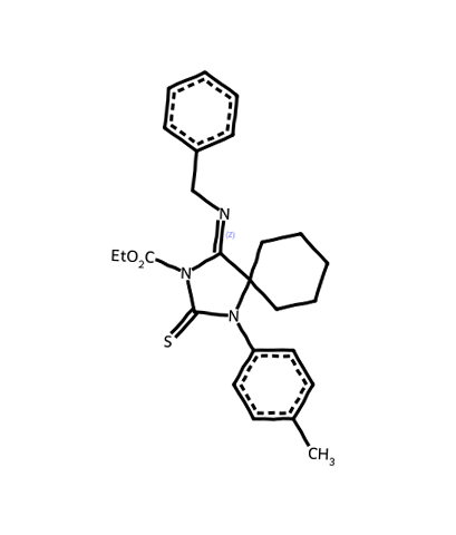 CCOC(=O)N1C(=S)N(c2ccc(C)cc2)C2(CCCCC2)/C1=N/Cc1ccccc1